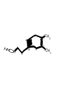 CC1=C(C)CC(CCO)=CC1